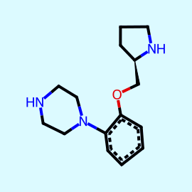 c1ccc(N2CCNCC2)c(OC[C@H]2CCCN2)c1